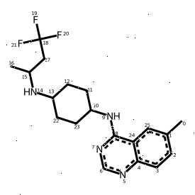 Cc1ccc2ncnc(NC3CCC(NC(C)CC(F)(F)F)CC3)c2c1